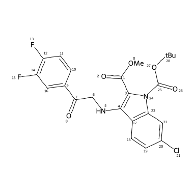 COC(=O)c1c(NCC(=O)c2ccc(F)c(F)c2)c2ccc(Cl)cc2n1C(=O)OC(C)(C)C